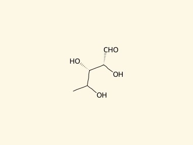 CC(O)[C@H](O)[C@@H](O)C=O